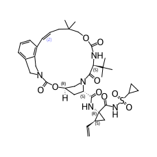 C=C[C@@H]1C[C@]1(NC(=O)[C@@H]1C[C@@H]2CN1C(=O)[C@H](C(C)(C)C)NC(=O)OCC(C)(C)C/C=C\c1cccc3c1CN(C3)C(=O)O2)C(=O)NS(=O)(=O)C1CC1